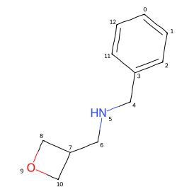 c1ccc(CNCC2COC2)cc1